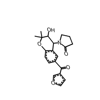 CC1(C)Oc2ccc(C(=O)c3ccoc3)cc2C(N2CCCC2=O)C1O